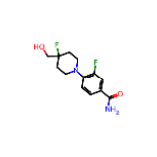 NC(=O)c1ccc(N2CCC(F)(CO)CC2)c(F)c1